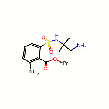 CC(C)OC(=O)c1c([N+](=O)[O-])cccc1S(=O)(=O)NC(C)(C)CN